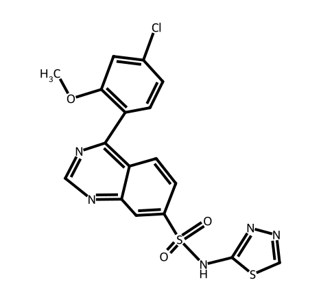 COc1cc(Cl)ccc1-c1ncnc2cc(S(=O)(=O)Nc3nncs3)ccc12